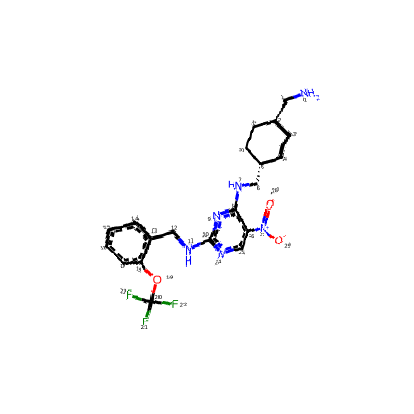 NC[C@H]1CC[C@H](CNc2nc(NCc3ccccc3OC(F)(F)F)ncc2[N+](=O)[O-])CC1